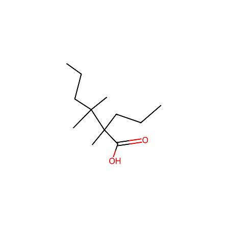 CCCC(C)(C)C(C)(CCC)C(=O)O